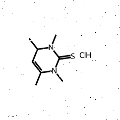 CC1=CC(C)N(C)C(=S)N1C.Cl